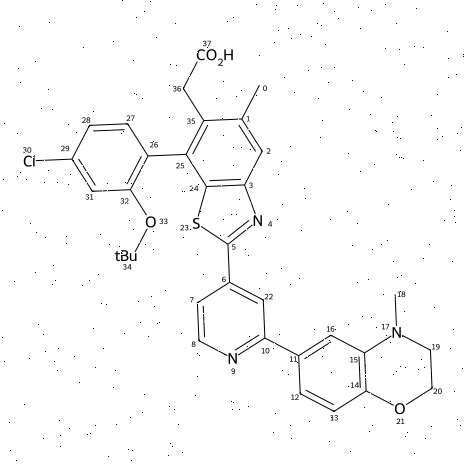 Cc1cc2nc(-c3ccnc(-c4ccc5c(c4)N(C)CCO5)c3)sc2c(-c2ccc(Cl)cc2OC(C)(C)C)c1CC(=O)O